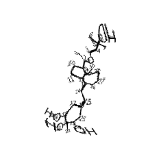 C[C@@H](OCCC(C)(C)O)C1CCC2/C(=C/C=C3C[C@@H](O)C(C)(O)[C@H](O)C3)CCCC21C